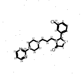 O=C1CSC(c2cccc(Cl)c2)N1CCCN1CCN(c2ncccn2)CC1